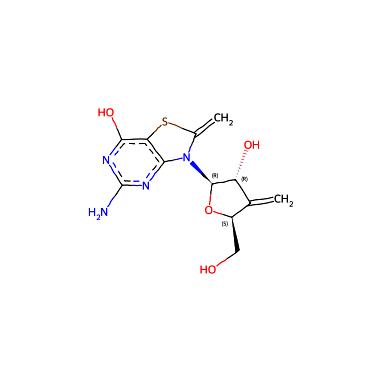 C=C1[C@@H](O)[C@H](N2C(=C)Sc3c(O)nc(N)nc32)O[C@@H]1CO